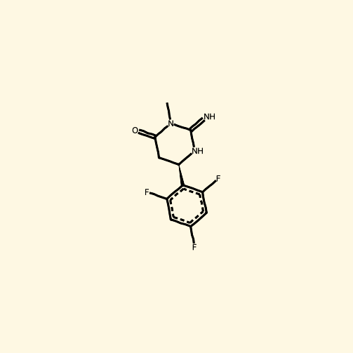 CN1C(=N)N[C@@H](c2c(F)cc(F)cc2F)CC1=O